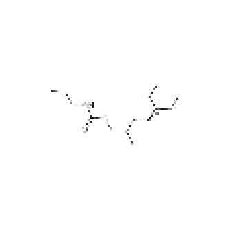 CCCNC(=O)OCC(C)CC[C@H](CC)C(C)C